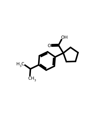 CC(C)c1ccc(C2(C(=O)O)CCCC2)cc1